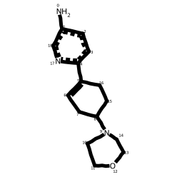 Nc1ccc(C2=CCC(N3CCOCC3)CC2)nc1